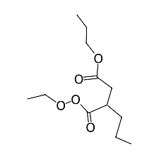 CCCOC(=O)CC(CCC)C(=O)OOCC